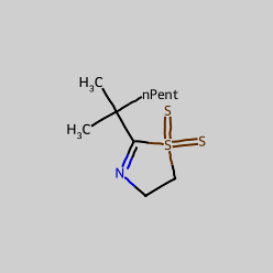 CCCCCC(C)(C)C1=NCCS1(=S)=S